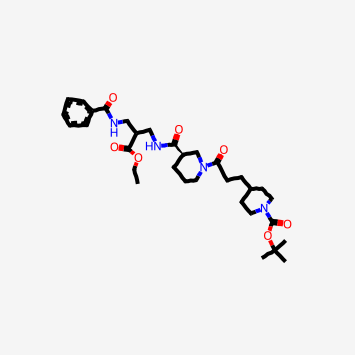 CCOC(=O)C(CNC(=O)c1ccccc1)CNC(=O)[C@@H]1CCCN(C(=O)CCC2CCN(C(=O)OC(C)(C)C)CC2)C1